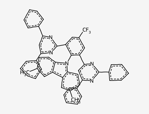 Cc1ccc2c(c1)c1cc(C)ccc1n2-c1c(-c2cc(-c3ccccc3)nc(-c3ccccc3)n2)cc(C(F)(F)F)cc1-c1nc(-c2ccccc2)cc(-c2ccccc2)n1